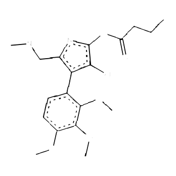 CCCC(=O)Oc1[nH]c(CNC)c(-c2ccc(OC)c(OC)c2OC)c1Cl